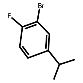 CC(C)c1ccc(F)c(Br)c1